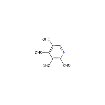 O=Cc1cnc(C=O)c(C=O)c1C=O